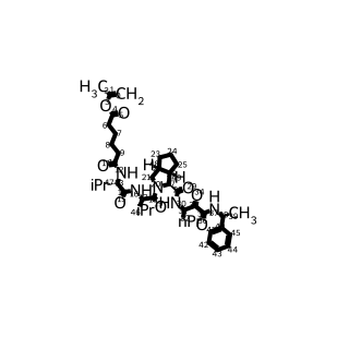 C=C(C)OC(=O)CCCCC(=O)N[C@H](C(=O)NC(C(=O)N1C[C@@H]2CCC[C@@H]2[C@H]1C(=O)NC(CCC)C(=O)C(=O)N[C@@H](C)c1ccccc1)C(C)C)C(C)C